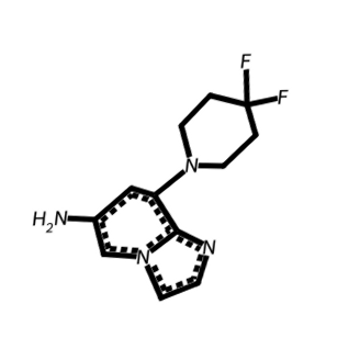 Nc1cc(N2CCC(F)(F)CC2)c2nccn2c1